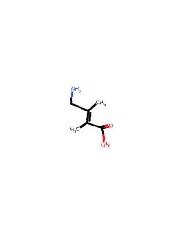 C/C(CN)=C(/C)C(=O)O